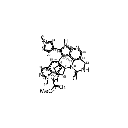 COC(=O)N[C@@H]1CC[C@@H](N2C(=O)NCc3cnc4[nH]c(-c5cnn(C)c5)c(-c5ccc6c(cnn6C)c5)c4c32)C1